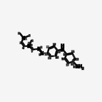 CN(C)\C=C/[N+](C)=C/N=N/c1ccc(Nc2ccc(N)cc2)cc1